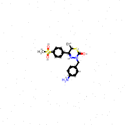 CCC1SC(=O)N(Cc2ccc(N)cc2)N=C1c1ccc(S(C)(=O)=O)cc1